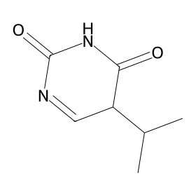 CC(C)C1C=NC(=O)NC1=O